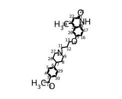 CC(=O)c1ccc(C2CCN(CCCOc3ccc4[nH]c(=O)cc(C)c4c3)CC2)cc1